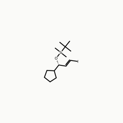 CC(C)(C)[Si](C)(C)O[C@H](/C=C/I)C1CCCC1